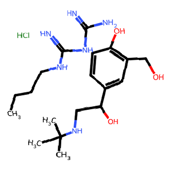 CC(C)(C)NCC(O)c1ccc(O)c(CO)c1.CCCCNC(=N)NC(=N)N.Cl